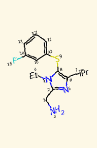 CCn1c(CN)nc(C(C)C)c1Sc1cccc(F)c1